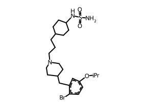 CC(C)Oc1ccc(Br)c(CC2CCN(CCCC3CCC(NS(N)(=O)=O)CC3)CC2)c1